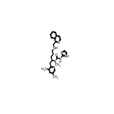 Cc1cnc(CC(CCCNCc2nccc3ccccc23)N(C)C(=O)Nc2ncc[nH]2)c(C)c1